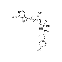 Nc1ncnc2c1ncn2[C@H]1C[C@H](O)[C@@H](COP(=O)(O)NC(=O)[C@@H](N)Cc2ccc(O)cc2)O1